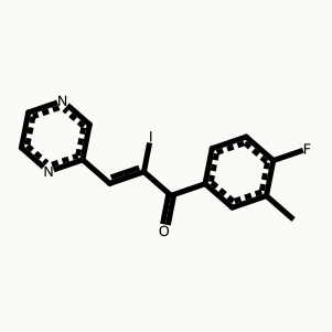 Cc1cc(C(=O)C(I)=Cc2cnccn2)ccc1F